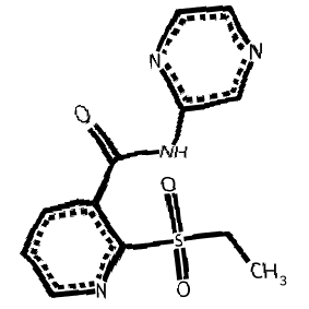 CCS(=O)(=O)c1ncccc1C(=O)Nc1cnccn1